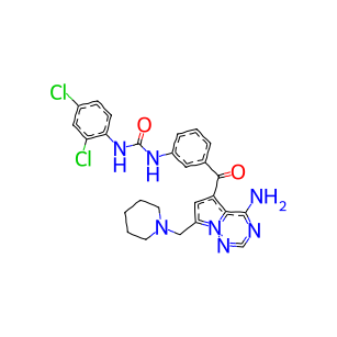 Nc1ncnn2c(CN3CCCCC3)cc(C(=O)c3cccc(NC(=O)Nc4ccc(Cl)cc4Cl)c3)c12